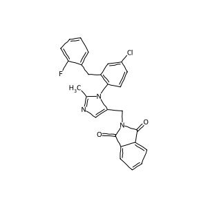 Cc1ncc(CN2C(=O)c3ccccc3C2=O)n1-c1ccc(Cl)cc1Cc1ccccc1F